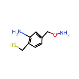 NOCc1ccc(CS)c(N)c1